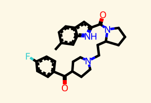 Cc1ccc2cc(C(=O)N3CCCC3CCN3CCC(C(=O)c4ccc(F)cc4)CC3)[nH]c2c1